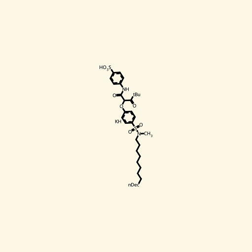 CCCCCCCCCCCCCCCCCCN(C)S(=O)(=O)c1ccc(OC(C(=O)Nc2ccc(S(=O)(=O)O)cc2)C(=O)C(C)(C)C)cc1.[KH]